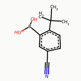 CC(C)(C)c1ccc(C#N)cc1B(O)O